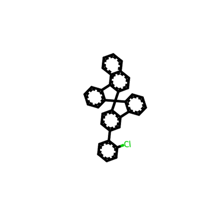 Clc1ccccc1-c1ccc2c(c1)-c1ccccc1C21c2ccccc2-c2c1ccc1ccccc21